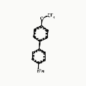 CC(C)(C)c1ccc(-c2ccc(OC(F)(F)F)cc2)cc1